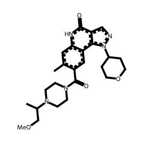 COCC(C)N1CCN(C(=O)c2cc3c(cc2C)[nH]c(=O)c2cnn(C4CCOCC4)c23)CC1